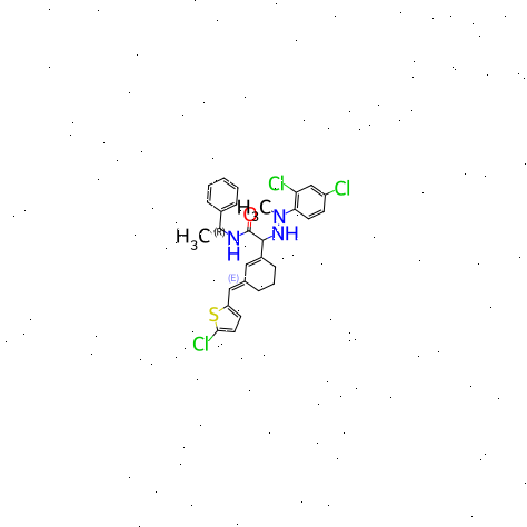 C[C@@H](NC(=O)C(NN(C)c1ccc(Cl)cc1Cl)C1=C/C(=C/c2ccc(Cl)s2)CCC1)c1ccccc1